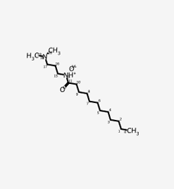 CCCCCCCCCCCC(=O)[NH+]([O-])CCCN(C)C